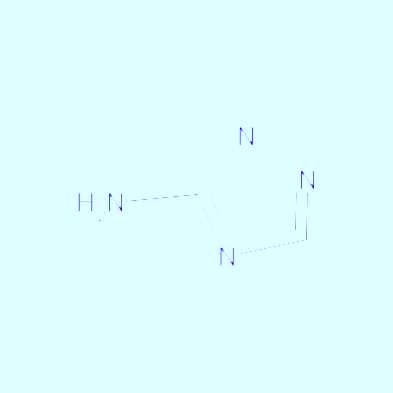 NC1=NC=N[N]1